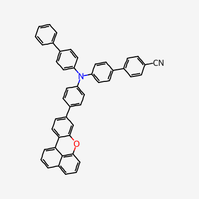 N#Cc1ccc(-c2ccc(N(c3ccc(-c4ccccc4)cc3)c3ccc(-c4ccc5c(c4)Oc4cccc6cccc-5c46)cc3)cc2)cc1